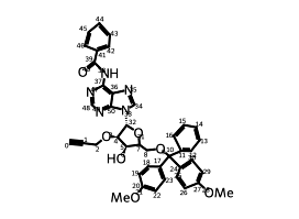 C#CCO[C@@H]1[C@H](O)C(COC(c2ccccc2)(c2ccc(OC)cc2)c2ccc(OC)cc2)O[C@H]1n1cnc2c(NC(=O)c3ccccc3)ncnc21